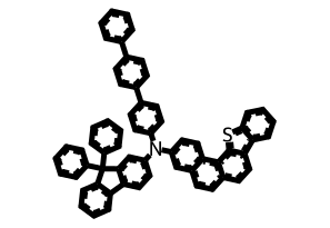 c1ccc(-c2ccc(-c3ccc(N(c4ccc5c(c4)C(c4ccccc4)(c4ccccc4)c4ccccc4-5)c4ccc5c(ccc6ccc7c8ccccc8sc7c65)c4)cc3)cc2)cc1